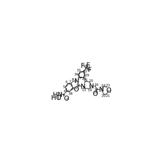 O=C(NO)c1ccc(CN(C(=O)N2CCN(CC(=O)N3CCOCC3)CC2)c2ccc(C(F)(F)F)cc2)cc1